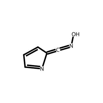 ON=C=C1C=CC=N1